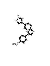 O=C(O)c1ccc(-c2cnc3ccc(-c4cn[nH]c4)cn23)cc1